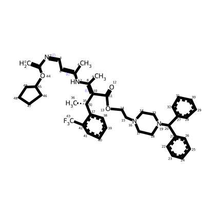 C=C(/N=C\C=C(/C)N/C(C)=C(/C(=O)OCCN1CCN(C(c2ccccc2)c2ccccc2)CC1)[C@@H](C)c1ccccc1C(F)(F)F)OC1CCCC1